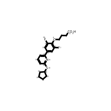 O=C(O)CCCOc1c(F)cc(-c2cccc(SC3CCCC3)n2)cc1F